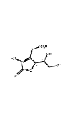 O=C1O[C@H]([C@@H](O)CO)C(OS(=O)(=O)O)=C1O